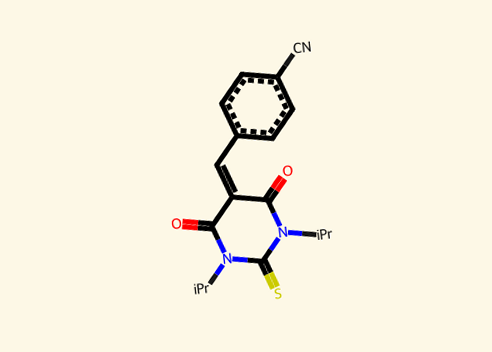 CC(C)N1C(=O)C(=Cc2ccc(C#N)cc2)C(=O)N(C(C)C)C1=S